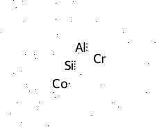 [Al].[Co].[Cr].[Si]